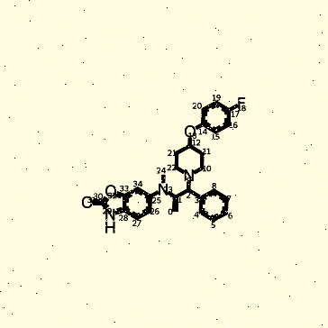 C=C(C(c1ccccc1)N1CCC(Oc2ccc(F)cc2)CC1)N(C)c1ccc2[nH]c(=O)oc2c1